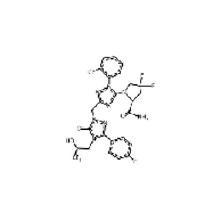 NC(=O)[C@@H]1CC(F)(F)CN1c1nc(Cn2nc(-c3ccc(Cl)cc3)n(C[C@H](O)C(F)(F)F)c2=O)nn1-c1ccccc1Cl